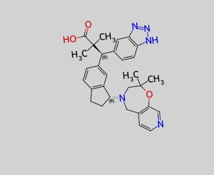 CC1(C)CN([C@@H]2CCc3ccc([C@H](c4ccc5[nH]nnc5c4)C(C)(C)C(=O)O)cc32)Cc2ccncc2O1